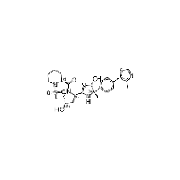 Cc1ncsc1-c1ccc([C@]2(C)NC([C@H]3C[C@@H](O)CN3C(=O)[C@@H]3CCCCN3S(C)(=O)=O)=NC2O)cc1